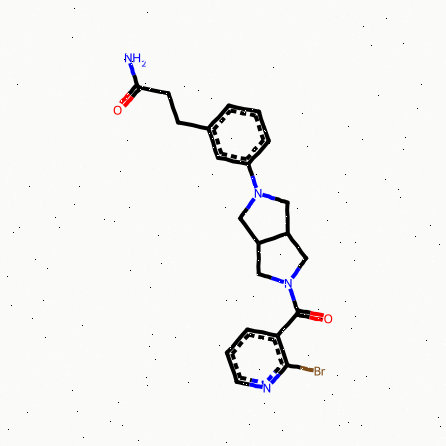 NC(=O)CCc1cccc(N2CC3CN(C(=O)c4cccnc4Br)CC3C2)c1